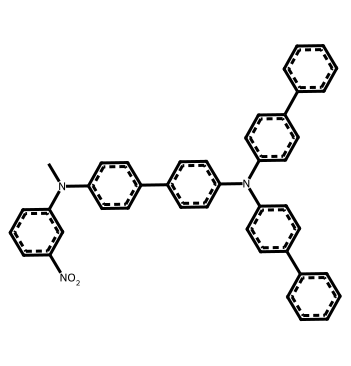 CN(c1ccc(-c2ccc(N(c3ccc(-c4ccccc4)cc3)c3ccc(-c4ccccc4)cc3)cc2)cc1)c1cccc([N+](=O)[O-])c1